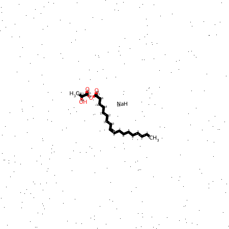 CCCCCCCC/C=C\CCCCCCCC(=O)OC(=O)C(C)O.[NaH]